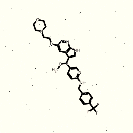 COC(c1ccc(NCc2ccc(C(F)(F)F)cc2)nc1)c1c[nH]c2ncc(OCCN3CCOCC3)cc12